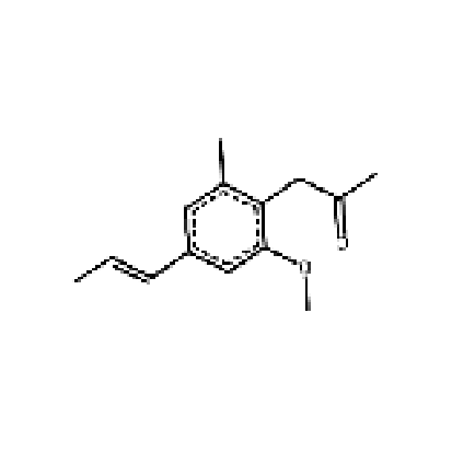 C/C=C/c1cc(C)c(CC(C)=O)c(OC)c1